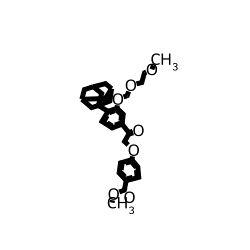 COCCOCOc1cc(C(=O)COc2ccc(C(=O)OC)cc2)ccc1C12CC3CC(CC(C3)C1)C2